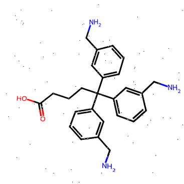 NCc1cccc(C(CCCC(=O)O)(c2cccc(CN)c2)c2cccc(CN)c2)c1